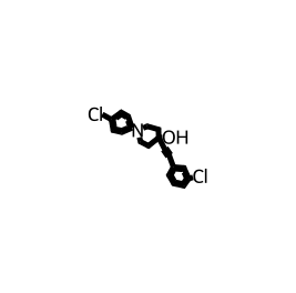 OC1(C#Cc2cccc(Cl)c2)CCN(c2ccc(Cl)cc2)CC1